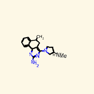 CN[C@@H]1CCN(c2nc(N)nc3c2CC(C)c2ccccc2-3)C1